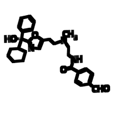 CN(CCNC(=O)c1ccc(C=O)cc1)CCc1cnc([C@](O)(c2ccccc2)C2CCCCC2)o1